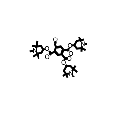 CN1C(C)(C)CC(OC(=O)c2cc(C(=O)OC3CC(C)(C)N(C)C(C)(C)C3)c(C(=O)OC3CC(C)(C)N(C)C(C)(C)C3)cc2C=O)CC1(C)C